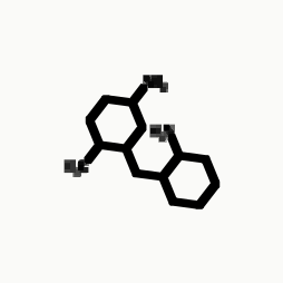 CC1CCC(N)CC1CC1CCCCC1N